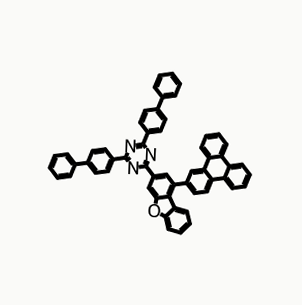 c1ccc(-c2ccc(-c3nc(-c4ccc(-c5ccccc5)cc4)nc(-c4cc(-c5ccc6c7ccccc7c7ccccc7c6c5)c5c(c4)oc4ccccc45)n3)cc2)cc1